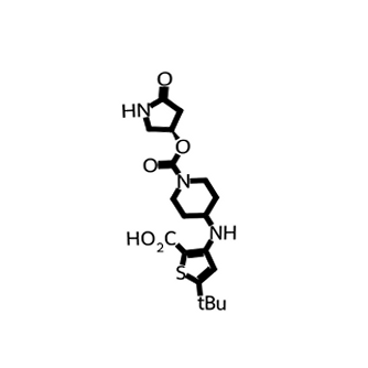 CC(C)(C)c1cc(NC2CCN(C(=O)O[C@H]3CNC(=O)C3)CC2)c(C(=O)O)s1